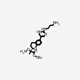 CC(C)(C)OC(=O)C(C)(ON)[C@H]1CCc2cc(C3=CN=C(NCCCN)NC3)ccc2O1